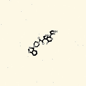 O=C(C(=O)N1CCN(c2ncnc3ccccc23)CC1)c1c[nH]c2c(-c3cc[nH]n3)ncc(F)c12